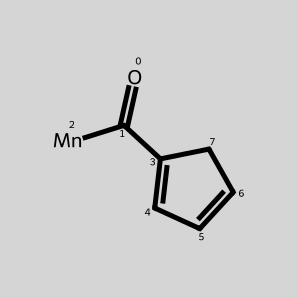 O=[C]([Mn])C1=CC=CC1